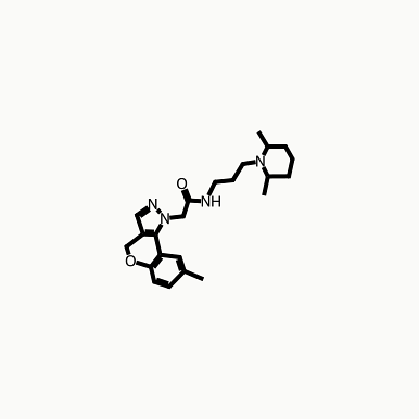 Cc1ccc2c(c1)-c1c(cnn1CC(=O)NCCCN1C(C)CCCC1C)CO2